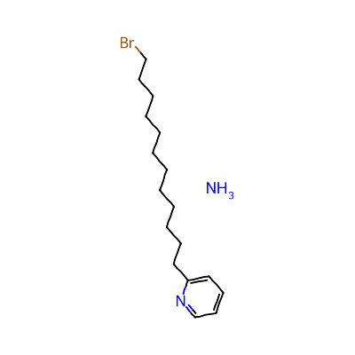 BrCCCCCCCCCCCCc1ccccn1.N